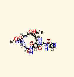 CO[C@H]1/C=C\C=C(/C)C(=O)NC2=CC(=O)C(NCCNC(=O)c3cccnc3)=C(C[C@@H](C)C[C@H](OC)[C@H](O)[C@@H](C)/C=C(\C)C1OC(N)=O)C2=O